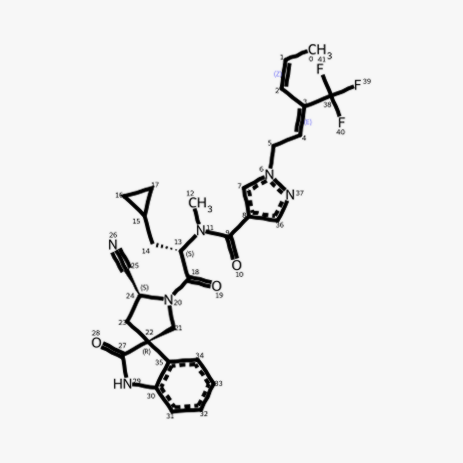 C/C=C\C(=C/Cn1cc(C(=O)N(C)[C@@H](CC2CC2)C(=O)N2C[C@]3(C[C@H]2C#N)C(=O)Nc2ccccc23)cn1)C(F)(F)F